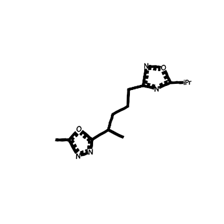 Cc1nnc(C(C)CCCc2noc(C(C)C)n2)o1